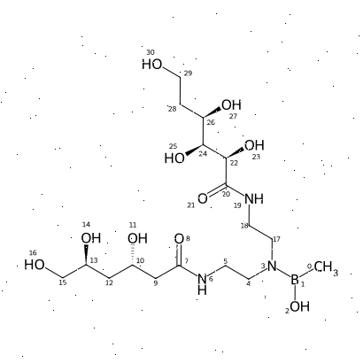 CB(O)N(CCNC(=O)C[C@@H](O)C[C@H](O)CO)CCNC(=O)[C@H](O)[C@@H](O)[C@H](O)CCO